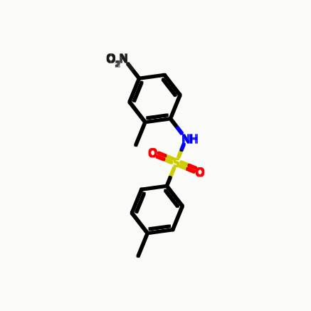 Cc1ccc(S(=O)(=O)Nc2ccc([N+](=O)[O-])cc2C)cc1